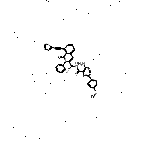 CC(C)Oc1ccc(-c2cnc(N)c(C(=O)N[C@@H](C)c3cc4cccc(C#Cc5cncs5)c4c(=O)n3-c3ccccc3)n2)cc1